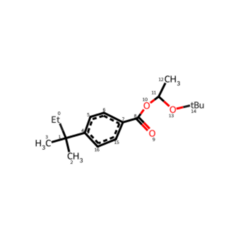 CCC(C)(C)c1ccc(C(=O)OC(C)OC(C)(C)C)cc1